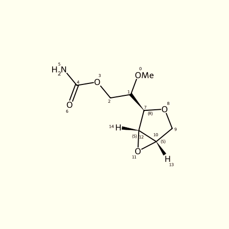 COC(COC(N)=O)[C@H]1OC[C@@H]2O[C@@H]21